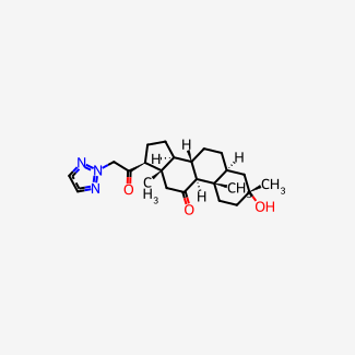 C[C@@]1(O)CC[C@@]2(C)[C@@H](CC[C@H]3[C@@H]4CC[C@H](C(=O)Cn5nccn5)[C@@]4(C)CC(=O)[C@@H]32)C1